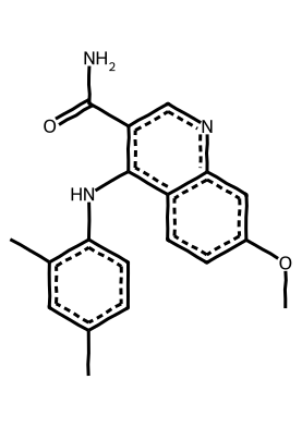 COc1ccc2c(Nc3ccc(C)cc3C)c(C(N)=O)cnc2c1